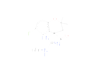 CCCNC1=NC(=O)C2(CC(C)(C)Oc3ccc(F)cc32)N1